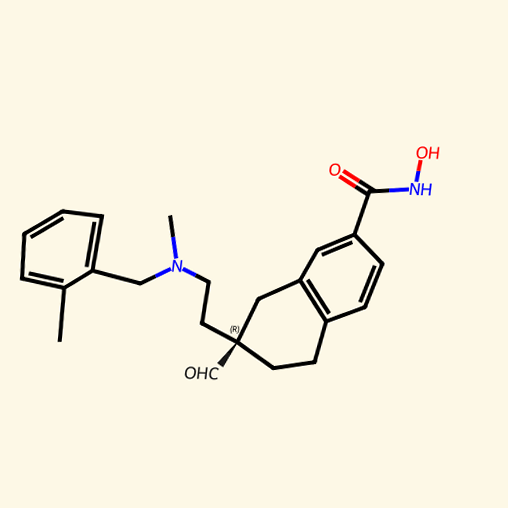 Cc1ccccc1CN(C)CC[C@@]1(C=O)CCc2ccc(C(=O)NO)cc2C1